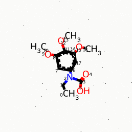 CCN(C(=O)O)c1cc(OC)c(OC)c(OC)c1